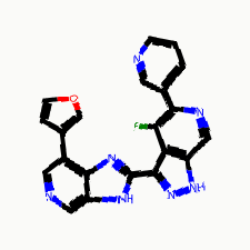 Fc1c(-c2cccnc2)ncc2[nH]nc(-c3nc4c(-c5ccoc5)cncc4[nH]3)c12